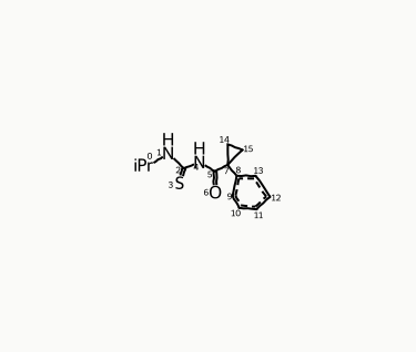 CC(C)NC(=S)NC(=O)C1(c2ccccc2)CC1